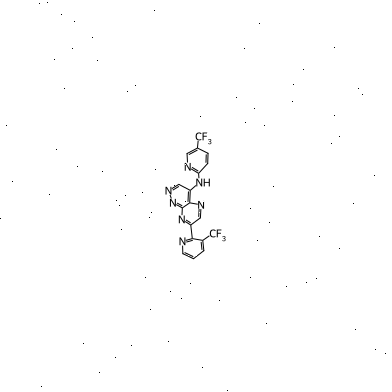 FC(F)(F)c1ccc(Nc2cnnc3nc(-c4ncccc4C(F)(F)F)cnc23)nc1